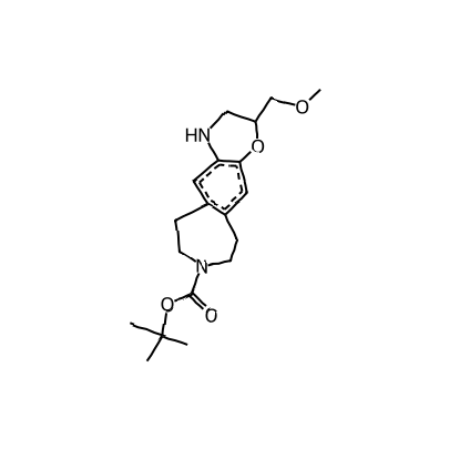 COCC1CNc2cc3c(cc2O1)CCN(C(=O)OC(C)(C)C)CC3